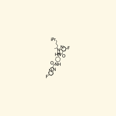 CC(C)CCCC(C)Nc1ncc(F)cc1C(=O)NC1CCC(NC(=O)c2cn3cc(F)ccc3n2)CC1